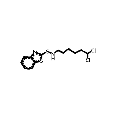 ClC(Cl)CCCCCNSc1nc2ccccc2s1